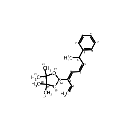 C=C/C(=C\C=C/C(C)c1ccccc1)B1OC(C)(C)C(C)(C)O1